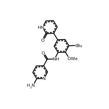 COc1c(NC(=O)c2ccc(N)nc2)cc(-c2ccc[nH]c2=O)cc1C(C)(C)C